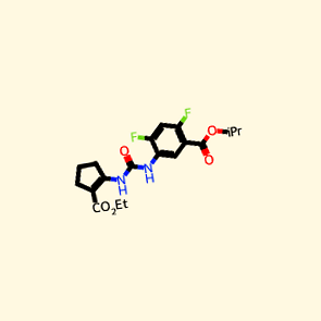 CCOC(=O)C1=C(NC(=O)Nc2cc(C(=O)OC(C)C)c(F)cc2F)CCC1